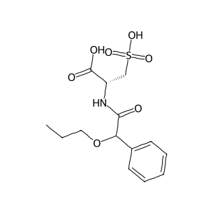 CCCOC(C(=O)N[C@@H](CS(=O)(=O)O)C(=O)O)c1ccccc1